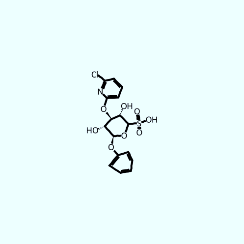 O=S(=O)(O)C1O[C@@H](Oc2ccccc2)[C@H](O)[C@@H](Oc2cccc(Cl)n2)[C@@H]1O